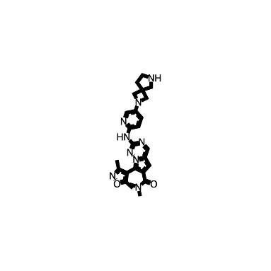 Cc1noc(C)c1-c1c(C(=O)N(C)C)cc2cnc(Nc3ccc(N4CC5(CCNC5)C4)cn3)nn12